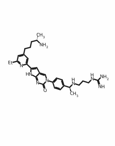 CCc1cc(CCC[C@H](C)N)cc(-c2cc3cn(-c4ccc([C@H](C)NCCCNC(=N)N)cc4)c(=O)nc3[nH]2)n1